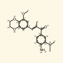 COc1cc(/C=C(\C)C(=O)c2ccc(N)c(N(C)C)c2)cc2c1OCCO2